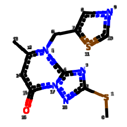 CSc1nc2n(Cc3cncs3)c(C)cc(=O)n2n1